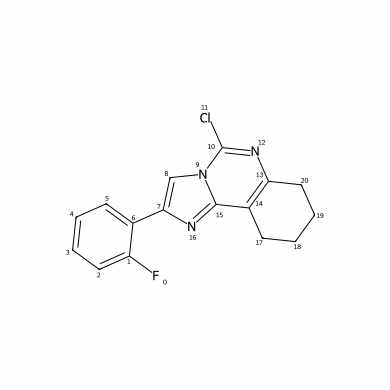 Fc1ccccc1-c1cn2c(Cl)nc3c(c2n1)CCCC3